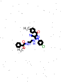 CO[C@@H](C(=O)NCCCNc1c(C#N)c(C(=O)c2ccc(C)cc2)nn1-c1ccc(Cl)cc1)c1ccccc1